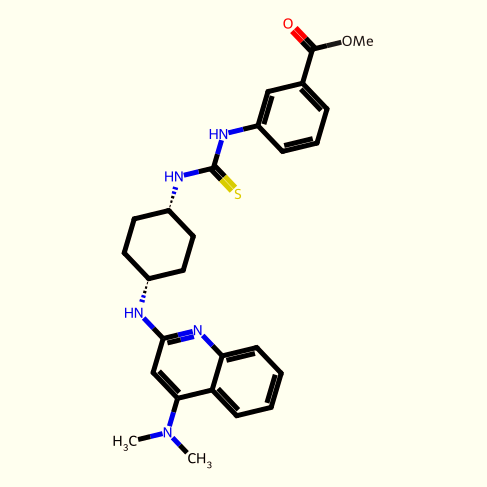 COC(=O)c1cccc(NC(=S)N[C@H]2CC[C@@H](Nc3cc(N(C)C)c4ccccc4n3)CC2)c1